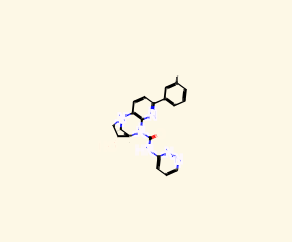 O=C(Nc1cccnn1)N1c2nc(-c3cccc(C(F)(F)F)c3)ccc2N2C[C@@H](O)[C@H]1C2